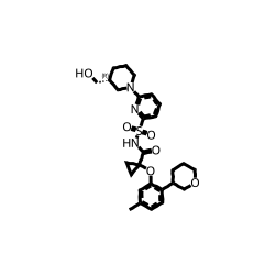 Cc1ccc(C2CCCOC2)c(OC2(C(=O)NS(=O)(=O)c3cccc(N4CCC[C@@H](CO)C4)n3)CC2)c1